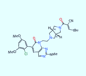 CNc1ncc2cc(-c3cc(OC)cc(OC)c3Cl)c(=O)n(CCN3C[C@@H]4CN(C(=O)C(C#N)=CC(C)(C)C)C[C@@H]4C3)c2n1